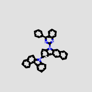 c1ccc(-c2nc(-n3c4ccc(-n5c6ccccc6c6c7ccccc7ccc65)cc4c4cc5ccccc5cc43)nc3ccccc23)cc1